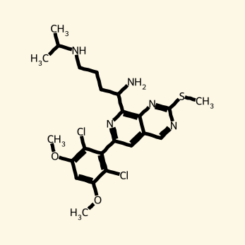 COc1cc(OC)c(Cl)c(-c2cc3cnc(SC)nc3c(C(N)CCCNC(C)C)n2)c1Cl